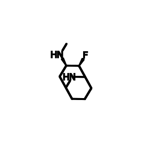 CN[C@@H]1CC2CCCC(N2)[C@@H]1F